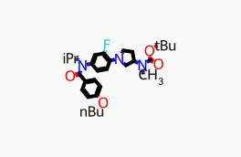 CCCCOc1ccc(C(=O)N(c2ccc(N3CCC(N(C)C(=O)OC(C)(C)C)C3)c(F)c2)C(C)C)cc1